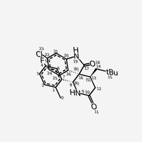 Cc1ccc(F)cc1[C@H]1NC(=O)C[C@H](CC(C)(C)C)[C@]12C(=O)Nc1cc(Cl)ccc12